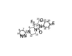 O=C(N1CCN(c2cccnn2)CC1)N1c2ccc(F)cc2OCC1CF